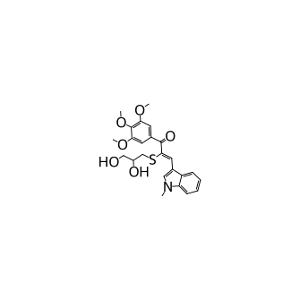 COc1cc(C(=O)C(=Cc2cn(C)c3ccccc23)SCC(O)CO)cc(OC)c1OC